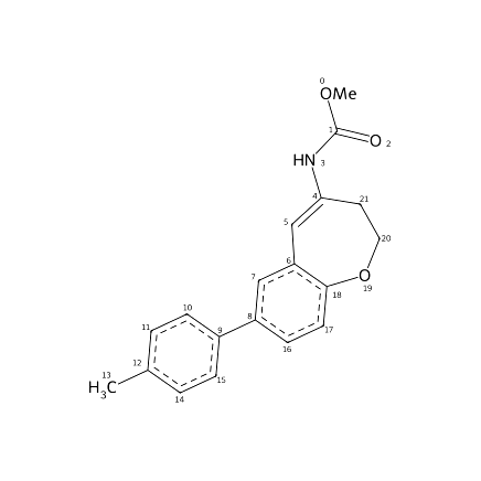 COC(=O)NC1=Cc2cc(-c3ccc(C)cc3)ccc2OCC1